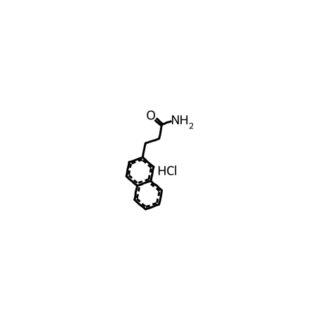 Cl.NC(=O)CCc1ccc2ccccc2c1